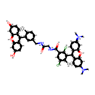 CN(C)c1ccc2c(-c3c(Cl)c(C(=O)NCC(=O)NCc4ccc(C(=O)O)c(-c5c6ccc(=O)cc-6oc6cc(O)ccc56)c4)cc(Cl)c3C(=O)O)c3ccc(=[N+](C)C)cc-3oc2c1